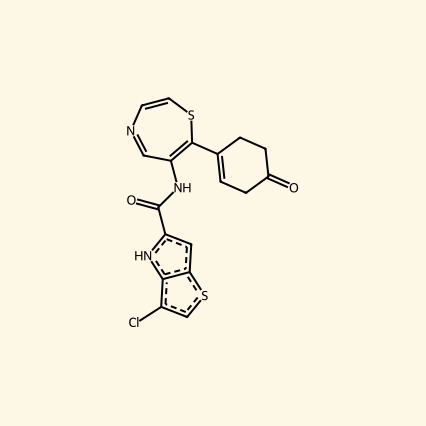 O=C1CC=C(C2=C(NC(=O)c3cc4scc(Cl)c4[nH]3)C=NC=CS2)CC1